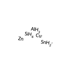 [AlH3].[Cu].[SiH4].[SnH2].[Zn]